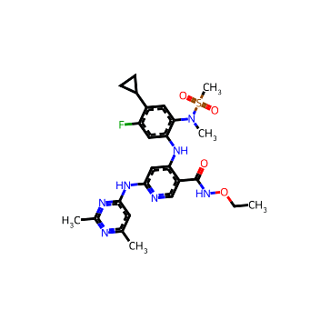 CCONC(=O)c1cnc(Nc2cc(C)nc(C)n2)cc1Nc1cc(F)c(C2CC2)cc1N(C)S(C)(=O)=O